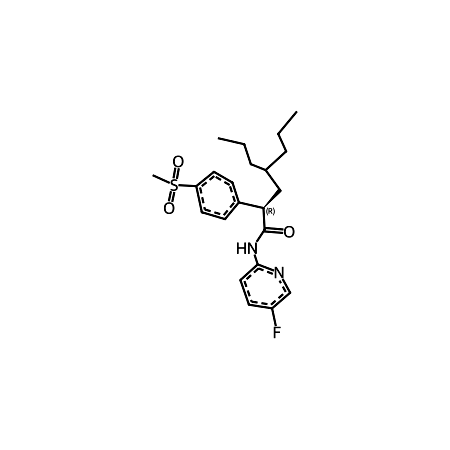 CCCC(CCC)C[C@@H](C(=O)Nc1ccc(F)cn1)c1ccc(S(C)(=O)=O)cc1